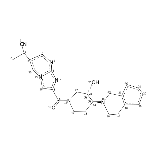 CC(C#N)c1cnc2nc(C(=O)N3CC[C@H](N4CCc5ccccc5C4)[C@@H](O)C3)cn2c1